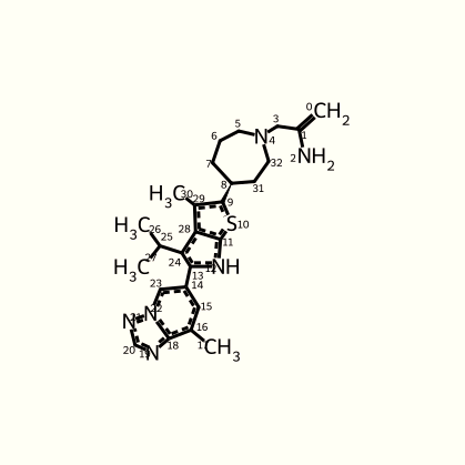 C=C(N)CN1CCC[C@H](c2sc3[nH]c(-c4cc(C)c5ncnn5c4)c(C(C)C)c3c2C)CC1